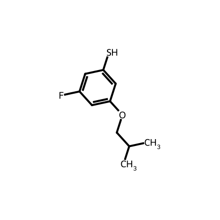 CC(C)COc1cc(F)cc(S)c1